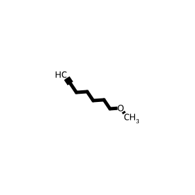 C#CCCCCCOC